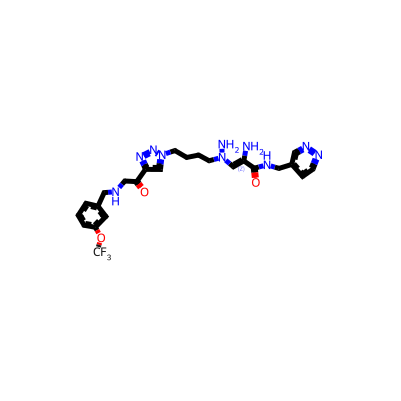 N/C(=C\N(N)CCCCn1cc(C(=O)CNCc2cccc(OC(F)(F)F)c2)nn1)C(=O)NCc1ccnnc1